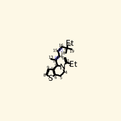 C=C(CC)N1CCc2sccc2C1/C(C)=C/C=C\C(C)(C)CC